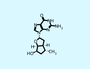 C[C@@H]1C[C@@H](O)[C@H]2O[C@H](n3cnc4c(=O)[nH]c(N)nc43)C[C@H]21